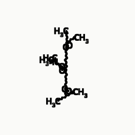 CCCCCC(CCCCC)CC(=O)OCCCCCCCCCC(CCCCCCCCCOC(=O)CC(CCCCC)CCCCC)C(=O)OCCCN(CC)CC